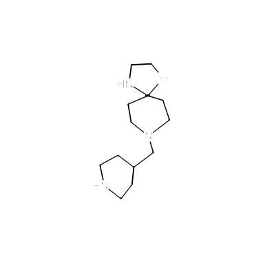 C1CC(CN2CCC3(CC2)NCCO3)CCN1